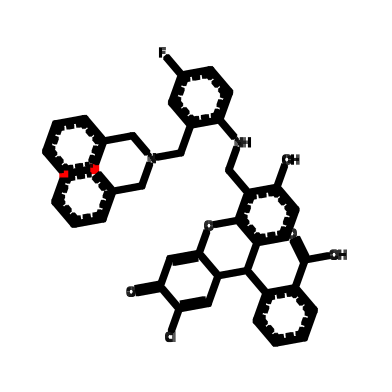 O=C1C=C2Oc3c(ccc(O)c3CNc3ccc(F)cc3CN(Cc3ccccn3)Cc3ccccn3)C(c3ccccc3C(=O)O)C2C=C1Cl